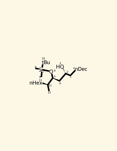 CCCCCCCCCCC[C@@H](O)C[C@H](O[Si](C)(C)C(C)(C)C)[C@@H](C)CCCCCC